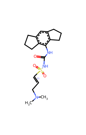 CN(C)C/C=C/S(=O)(=O)NC(=O)Nc1c2c(cc3c1CCC3)CCC2